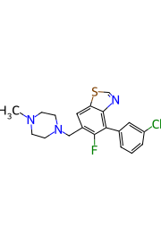 CN1CCN(Cc2cc3scnc3c(-c3cccc(Cl)c3)c2F)CC1